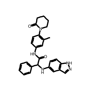 Cc1cc(NC(=O)C(Nc2ccc3[nH]ncc3c2)c2ccccc2)ccc1N1CCCCC1=O